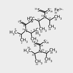 CC(C)N(C(=S)[S-])C(C)C.CC(C)N(C(=S)[S-])C(C)C.CC(C)N(C(=S)[S-])C(C)C.[Fe+3]